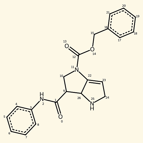 O=C(Nc1ccccc1)C1CN(C(=O)OCc2ccccc2)C2=CCNC21